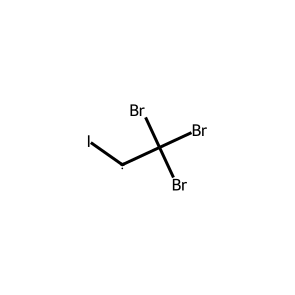 BrC(Br)(Br)[CH]I